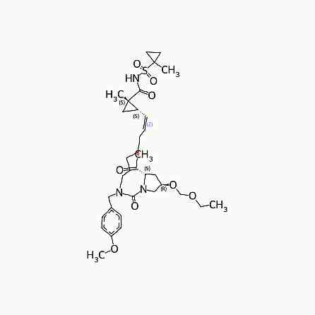 CCOCO[C@@H]1C[C@@H](C(C)=O)N(C(=O)N(CCCCC/C=C\[C@@H]2C[C@]2(C)C(=O)NS(=O)(=O)C2(C)CC2)Cc2ccc(OC)cc2)C1